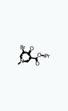 CC(C)OC(=O)c1cn(C)cc(Br)c1=O